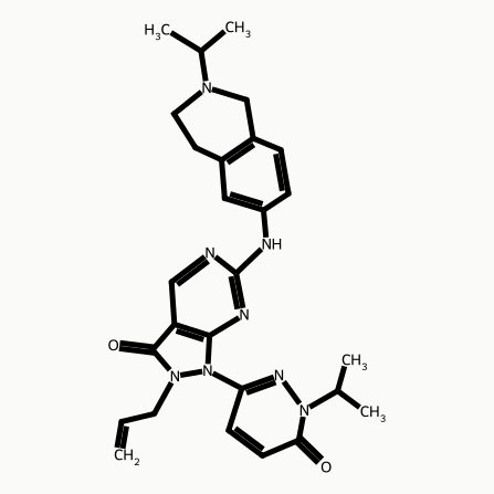 C=CCn1c(=O)c2cnc(Nc3ccc4c(c3)CCN(C(C)C)C4)nc2n1-c1ccc(=O)n(C(C)C)n1